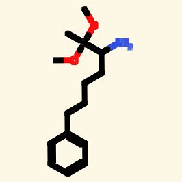 CO[Si](C)(OC)C(N)CCCCc1ccccc1